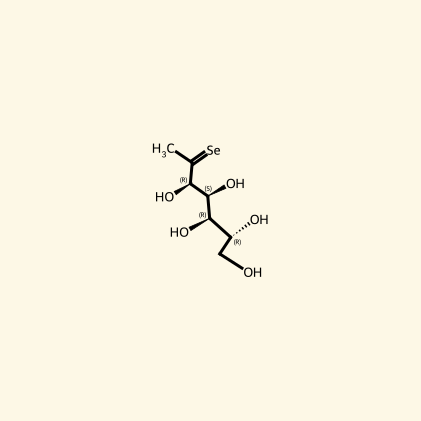 CC(=[Se])[C@H](O)[C@@H](O)[C@H](O)[C@H](O)CO